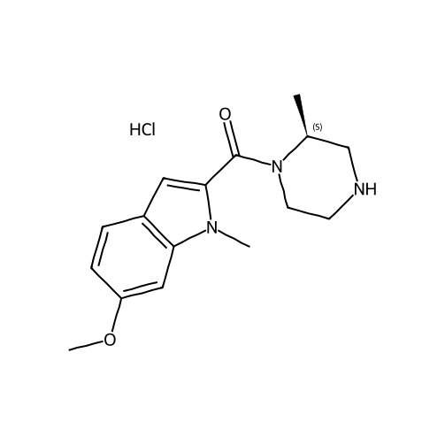 COc1ccc2cc(C(=O)N3CCNC[C@@H]3C)n(C)c2c1.Cl